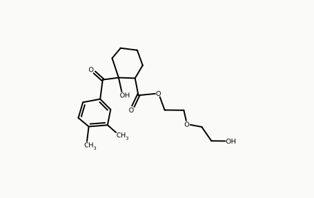 Cc1ccc(C(=O)C2(O)CCCCC2C(=O)OCCOCCO)cc1C